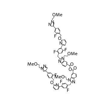 COCCn1cc(-c2ccc(COc3cccc(-c4cc(F)c(Cc5nc6ccc(C(=O)OC(=O)c7ccc8nc(Cc9cc(F)c(-c%10cccc(OCc%11ccc(-c%12cnn(CCOC)c%12)cc%11F)n%10)cc9F)n(CCOC)c8c7)cc6n5CCOC)cc4F)n3)c(F)c2)cn1